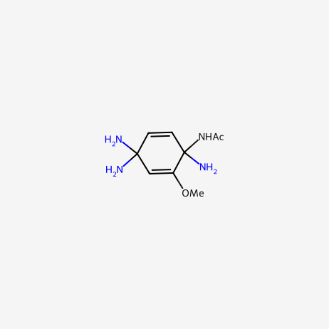 COC1=CC(N)(N)C=CC1(N)NC(C)=O